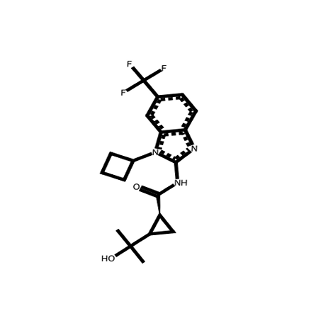 CC(C)(O)C1C[C@@H]1C(=O)Nc1nc2ccc(C(F)(F)F)cc2n1C1CCC1